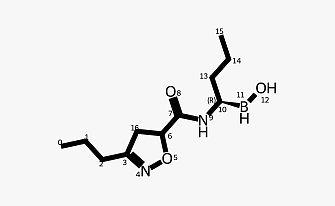 CCCC1=NOC(C(=O)N[C@H](BO)CCC)C1